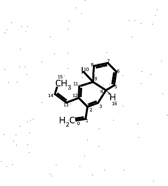 C=CC1=C[C@@H]2C=CC=CC2(I)C=C1/C=C\C